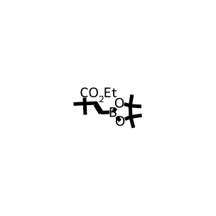 CCOC(=O)C(C)(C)C=CB1OC(C)(C)C(C)(C)O1